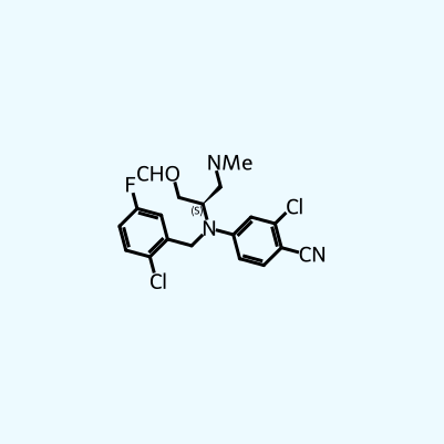 CNC[C@H](CC=O)N(Cc1cc(F)ccc1Cl)c1ccc(C#N)c(Cl)c1